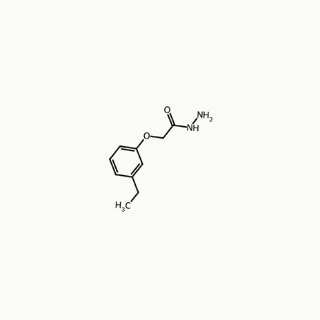 CCc1cccc(OCC(=O)NN)c1